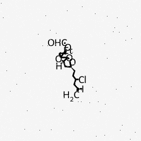 C=C(I)CC(Cl)CC[C@@]12C[C@H]3OC(C(CC)O1)C(OC=O)C3O2